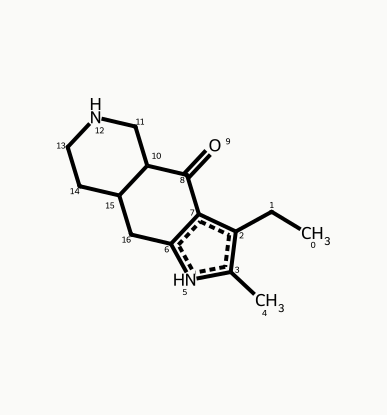 CCc1c(C)[nH]c2c1C(=O)C1CNCCC1C2